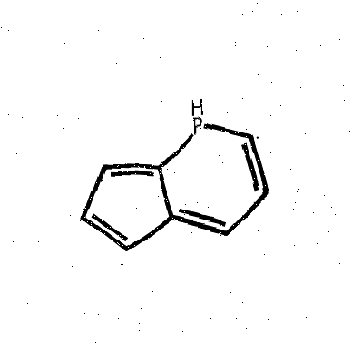 [c]1ccc2cccc-2[pH]1